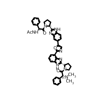 CC(=O)N[C@H](C(=O)N1CCC[C@H]1c1nc2cc(-c3cnc(-c4cccc5[nH]c([C@@H]6CCCN6C(=O)[C@@H](c6ccccc6)N(C)C)nc45)o3)ccc2[nH]1)c1ccccc1